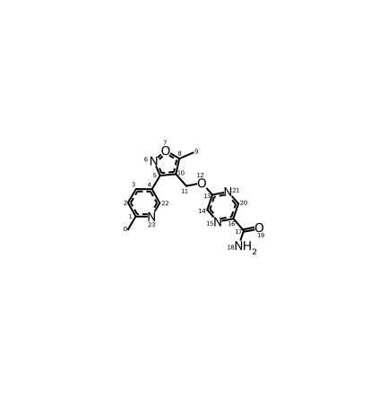 Cc1ccc(-c2noc(C)c2COc2cnc(C(N)=O)cn2)cn1